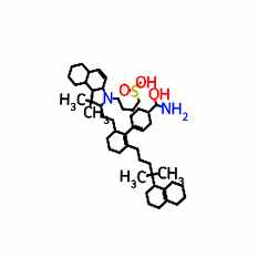 CC(C)(CCCC1=C(C2=CCC(C(N)O)CC2)C(CCC2N(CCCCS(=O)O)C3C=CC4CCCCC4C3C2(C)C)CCC1)C1CCCC2=C1CCCC2